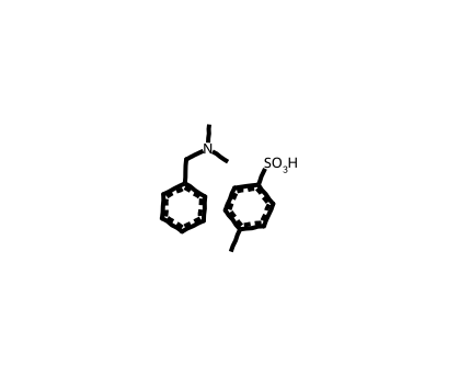 CN(C)Cc1ccccc1.Cc1ccc(S(=O)(=O)O)cc1